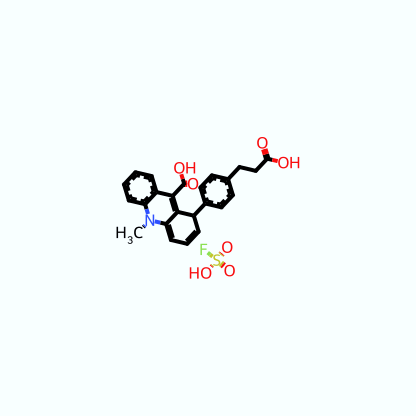 CN1C2=CC=CC(c3ccc(CCC(=O)O)cc3)C2=C(C(=O)O)c2ccccc21.O=S(=O)(O)F